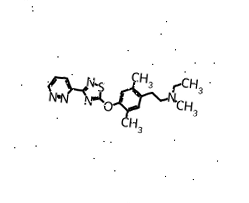 CCN(C)CCc1cc(C)c(Oc2nc(-c3cccnn3)ns2)cc1C